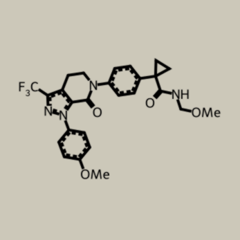 COCNC(=O)C1(c2ccc(N3CCc4c(C(F)(F)F)nn(-c5ccc(OC)cc5)c4C3=O)cc2)CC1